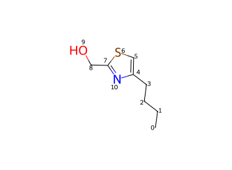 CCCCc1csc(CO)n1